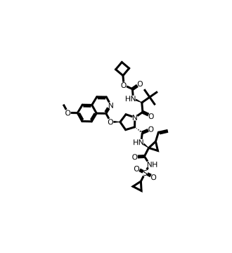 C=CC1C[C@]1(NC(=O)[C@@H]1C[C@@H](Oc2nccc3cc(OC)ccc23)CN1C(=O)[C@@H](NC(=O)OC1CCC1)C(C)(C)C)C(=O)NS(=O)(=O)C1CC1